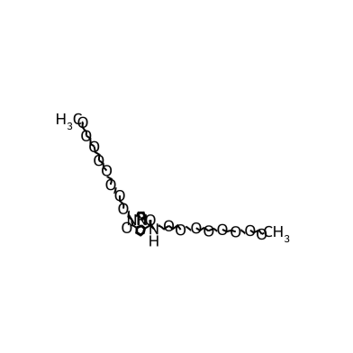 COCCOCCOCCOCCOCCOCCOCCOCCNC(=O)c1cccc(C(=O)NCCOCCOCCOCCOCCOCCOCCOCCOC)c1-n1cccc1